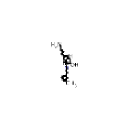 Cc1cccc(CC/C=C/[C@@H]2[C@H]3CC(CCCCN)=C[C@H]3C[C@H]2O)c1